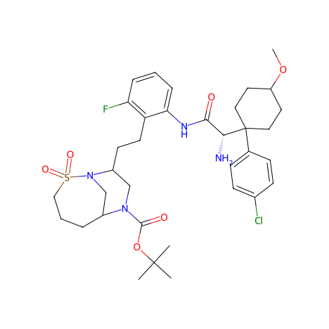 COC1CCC(c2ccc(Cl)cc2)([C@H](N)C(=O)Nc2cccc(F)c2CCC2CN(C(=O)OC(C)(C)C)C3CCCS(=O)(=O)N2C3)CC1